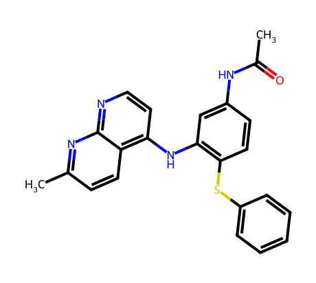 CC(=O)Nc1ccc(Sc2ccccc2)c(Nc2ccnc3nc(C)ccc23)c1